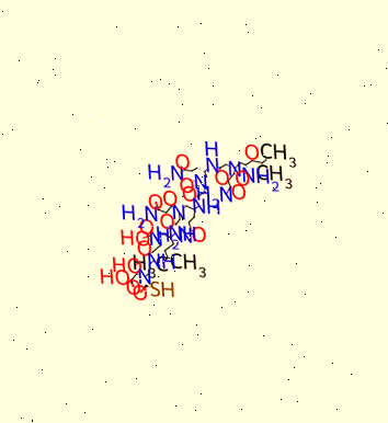 CCC(C)C(=O)[C@H](N)CN(CC(=O)N[C@@H](CCC(N)=O)CN(C=O)CC(=O)N[C@@H](CCC(N)=O)CN(CC(=O)N[C@@H](CCC(C)C)CN(CC(=O)N[C@@H](CO)CN(CC(=O)O)C(=O)S)C(=O)O)C(=O)CC(N)=O)C(=O)CC(N)=O